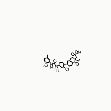 CCC1(CC(=O)O)CCc2cc(-c3ccc(NC(=O)Nc4cc(C)ccc4OC)cc3Cl)ccc2C1=O